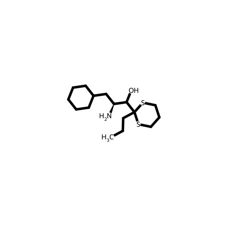 CCCC1(C(O)[C@@H](N)CC2CCCCC2)SCCCS1